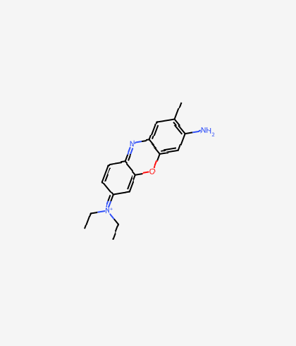 CC[N+](CC)=c1ccc2nc3cc(C)c(N)cc3oc-2c1